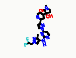 Cc1nn(CC(F)F)cc1Nc1nccc(-n2ccc(-c3cc([C@]4(O)CCN(C)C4=O)ccn3)n2)n1